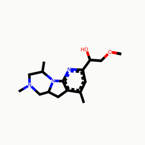 COCC(O)c1cc(C)c2c(n1)N1C(C)CN(C)CC1C2